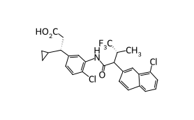 C[C@H](C(C(=O)Nc1cc([C@@H](CC(=O)O)C2CC2)ccc1Cl)c1ccc2cccc(Cl)c2c1)C(F)(F)F